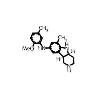 COc1ccc(C)cc1Nc1cc(C)c2c(c1)[C@@H]1CNCC[C@@H]1N2